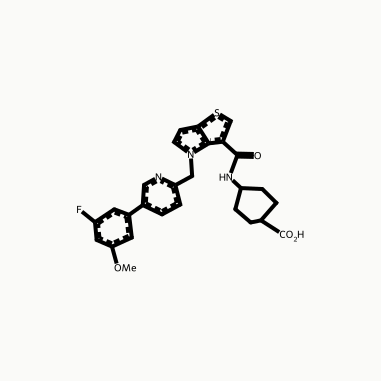 COc1cc(F)cc(-c2ccc(Cn3ccc4scc(C(=O)NC5CCC(C(=O)O)CC5)c43)nc2)c1